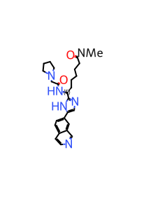 CNC(=O)CCCCC[C@H](NC(=O)CN1CCCC1)c1ncc(-c2ccc3ccncc3c2)[nH]1